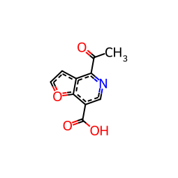 CC(=O)c1ncc(C(=O)O)c2occc12